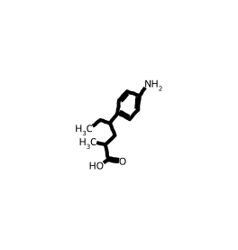 CCC(CC(C)C(=O)O)c1ccc(N)cc1